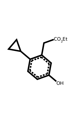 CCOC(=O)Cc1cc(O)ccc1C1CC1